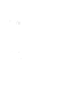 CCCCCCCCCC[Si](OCC)(OCC)OCC.F.[SiH4]